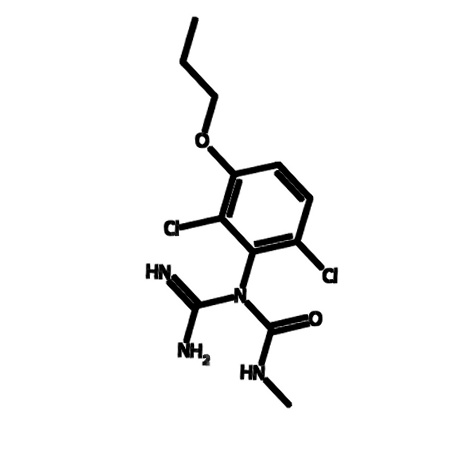 CCCOc1ccc(Cl)c(N(C(=N)N)C(=O)NC)c1Cl